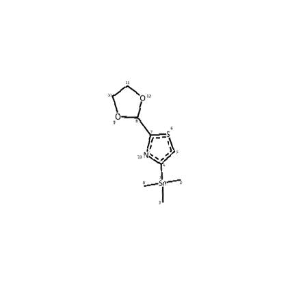 [CH3][Sn]([CH3])([CH3])[c]1csc(C2OCCO2)n1